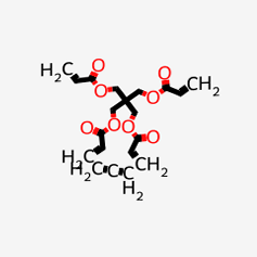 C=C=C.C=CC(=O)OCC(COC(=O)C=C)(COC(=O)C=C)COC(=O)C=C